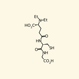 CCN(CC)[C@@H](CCC(=O)N[C@@H](CS)C(=O)NCC(=O)O)C(=O)O